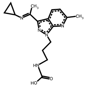 C/C(=N\C1CC1)c1nn(CCCNC(=O)O)c2nc(C)ccc12